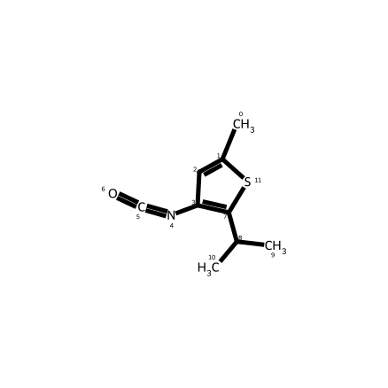 Cc1cc(N=C=O)c(C(C)C)s1